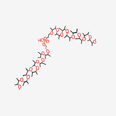 COC(C)C(C)OC(C)C(C)OC(C)C(C)OC(C)C(C)OC(C)C(C)OC(C)C(C)OC(C)C(C)OC(C)C(C)OCCOP(=O)(O)OCCOC(C)C(C)OC(C)C(C)OC(C)C(C)OC(C)C(C)OC(C)C(C)OC(C)C(C)OC(C)C(C)OC(C)C(C)OC